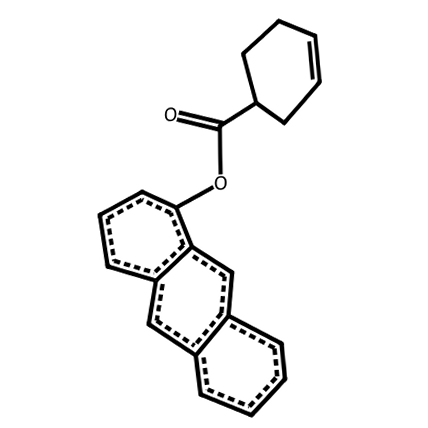 O=C(Oc1cccc2cc3ccccc3cc12)C1CC=CCC1